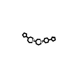 C1=CC(C2CCC(N3CCCC(N4CCCC(C5CCCC5)CC4)CC3)CC2)CC1